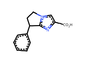 O=C(O)c1cn2c(n1)C(c1ccccc1)CC2